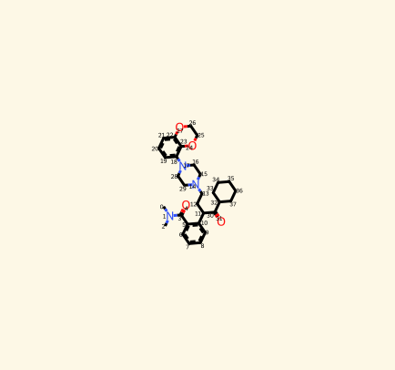 CN(C)C(=O)c1ccccc1C(CCN1CCN(c2cccc3c2OCCO3)CC1)C(=O)C1CCCCC1